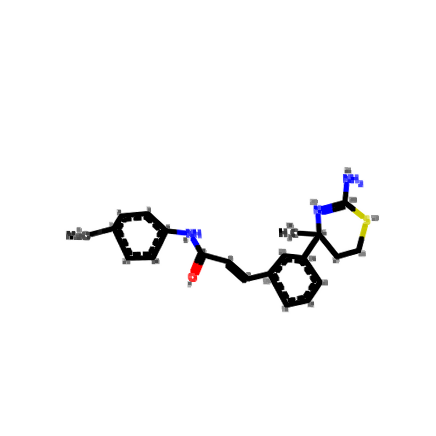 COc1ccc(NC(=O)/C=C/c2cccc(C3(C)CCSC(N)=N3)c2)cc1